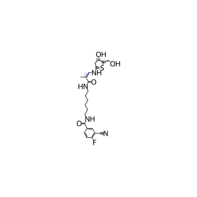 C/C(=C/N[C@H]1C[C@H](O)[C@@H](CO)S1)C(=O)NCCCCCCNC(=O)c1ccc(F)c(C#N)c1